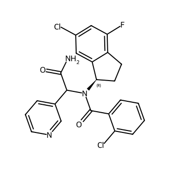 NC(=O)C(c1cccnc1)N(C(=O)c1ccccc1Cl)[C@@H]1CCc2c(F)cc(Cl)cc21